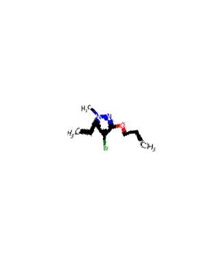 CCCOc1nn(C)c(CC)c1Br